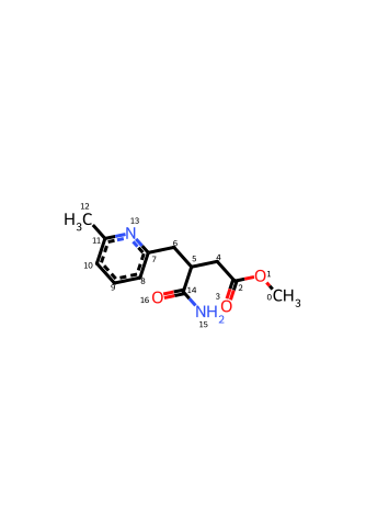 COC(=O)CC(Cc1cccc(C)n1)C(N)=O